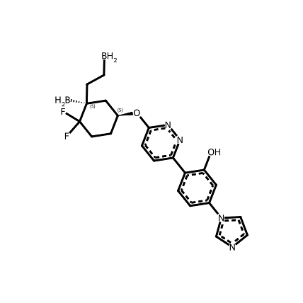 BCC[C@@]1(B)C[C@@H](Oc2ccc(-c3ccc(-n4ccnc4)cc3O)nn2)CCC1(F)F